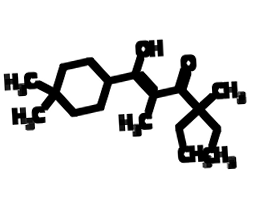 CCC(C)(CC)C(=O)/C(C)=C(\O)C1CCC(C)(C)CC1